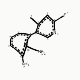 Cc1cc(F)ncc1-c1cccc(N)c1N